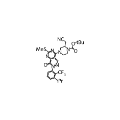 CSc1nc(N2CCN(C(=O)OC(C)(C)C)C(CC#N)C2)c2cnn(-c3cccc(C(C)C)c3C(F)(F)F)c(=O)c2n1